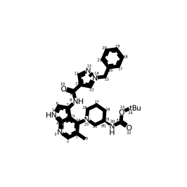 Cc1cnc2[nH]cc(NC(=O)c3cnn(Cc4ccccc4)c3)c2c1N1CCC[C@@H](NC(=O)OC(C)(C)C)C1